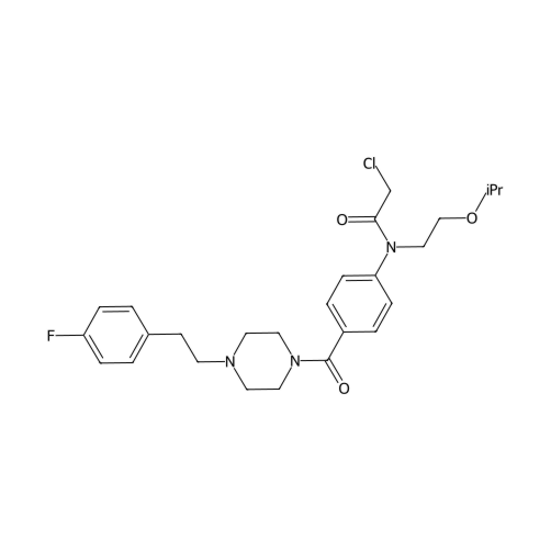 CC(C)OCCN(C(=O)CCl)c1ccc(C(=O)N2CCN(CCc3ccc(F)cc3)CC2)cc1